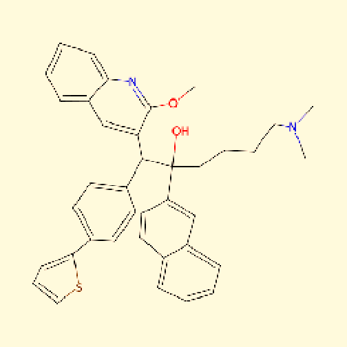 COc1nc2ccccc2cc1C(c1ccc(-c2cccs2)cc1)C(O)(CCCCN(C)C)c1ccc2ccccc2c1